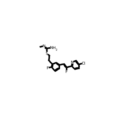 C/N=C(/N)SCCc1cc(/C=C(\F)c2ccc(Cl)cn2)ccc1F